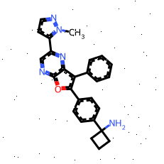 Cn1nccc1-c1cnc2oc(-c3ccc(C4(N)CCC4)cc3)c(-c3ccccc3)c2n1